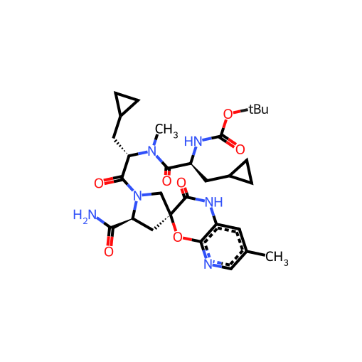 Cc1cnc2c(c1)NC(=O)[C@@]1(C[C@@H](C(N)=O)N(C(=O)[C@H](CC3CC3)N(C)C(=O)[C@H](CC3CC3)NC(=O)OC(C)(C)C)C1)O2